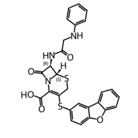 O=C(CNc1ccccc1)N[C@@H]1C(=O)N2C(C(=O)O)=C(Sc3ccc4oc5ccccc5c4c3)CS[C@@H]12